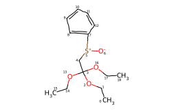 CCOC(C[S+]([O-])c1ccccc1)(OCC)OCC